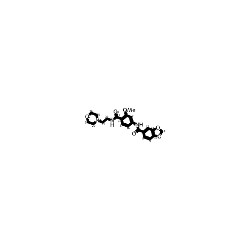 COc1cc(NC(=O)c2ccc3c(c2)OCO3)ccc1C(=O)NCCN1CCOCC1